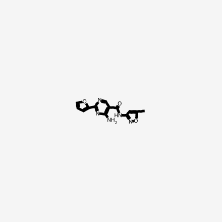 Cc1cc(NC(=O)c2cnc(-c3ccco3)nc2N)no1